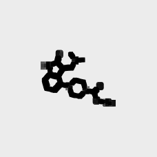 CN(C)/C=C1\C(=O)Nc2cccc(N3CCN(C(=O)OC(C)(C)C)CC3)c21